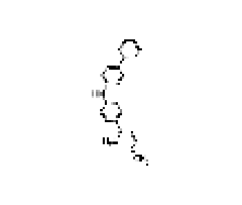 C=C/C=C\C(=C)c1ccc(Nc2ccc(-c3ccccc3)cc2)cc1